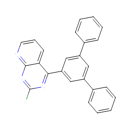 Brc1nc(-c2cc(-c3ccccc3)cc(-c3ccccc3)c2)c2cccnc2n1